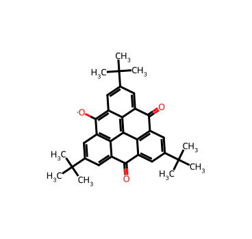 CC(C)(C)c1cc2c3c(c1)c(=O)c1cc(C(C)(C)C)cc4c([O])c5cc(C(C)(C)C)cc(c2=O)c5c-3c41